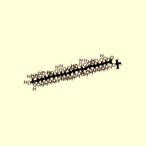 CC(C)(C)OC(=O)C(O)(O)C(O)(O)C(O)(O)C(O)(O)C(O)(O)C(O)(O)C(O)(O)C(O)(O)C(O)(O)C(O)(O)C(O)(O)C(O)(O)C(O)(O)C(O)(O)C(O)(O)C(O)(O)C(O)(O)C(O)(O)C(O)(O)O